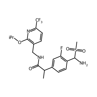 CC(C)Oc1nc(C(F)(F)F)ccc1CNC(=O)C(C)c1ccc(C(N)S(C)(=O)=O)c(F)c1